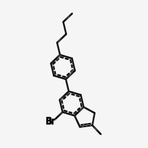 CCCCc1ccc(-c2cc(Br)c3c(c2)CC(C)=C3)cc1